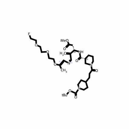 C=C(/C=N\C=C(/C)OCCOCCOCCF)[C@H](CC(=O)OC)NC(=O)[C@@H]1CCCN(C(=O)CCC2CCN(C(=O)OC(C)(C)C)CC2)C1